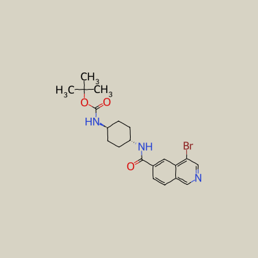 CC(C)(C)OC(=O)N[C@H]1CC[C@H](NC(=O)c2ccc3cncc(Br)c3c2)CC1